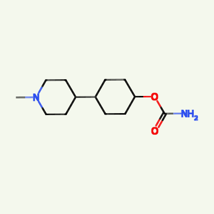 CN1CCC(C2CCC(OC(N)=O)CC2)CC1